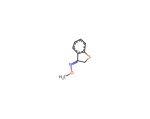 CON=C1CSc2ccccc21